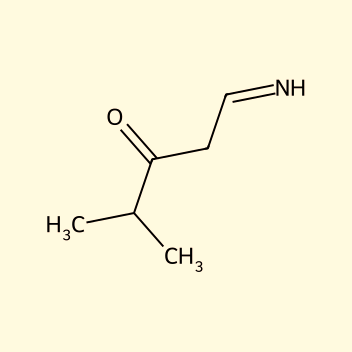 CC(C)C(=O)CC=N